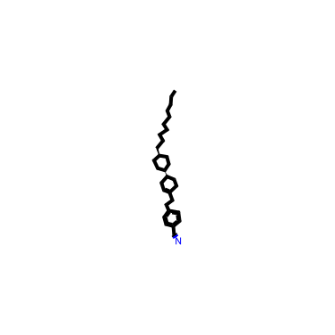 CCCCCCCCCC[C@H]1CC[C@H](C2CC=C(CCc3ccc(C#N)cc3)CC2)CC1